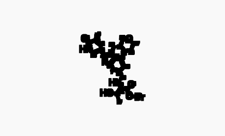 Cc1cc(-c2nc3cc(CN[C@H](C(=O)OC(C)C)[C@@H](C)O)ccc3n2C[C@H]2CCCOC2)c[nH]c1=O